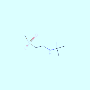 [CH2]C(C)(C)NCCS(C)(=O)=O